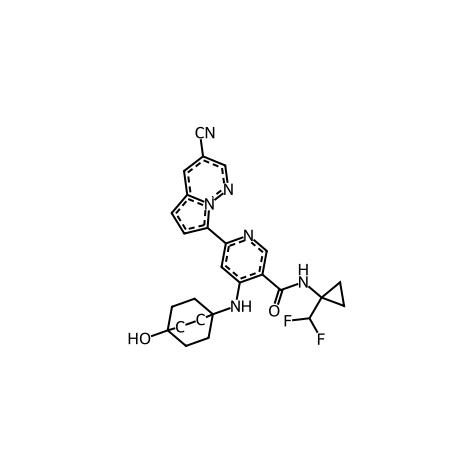 N#Cc1cnn2c(-c3cc(NC45CCC(O)(CC4)CC5)c(C(=O)NC4(C(F)F)CC4)cn3)ccc2c1